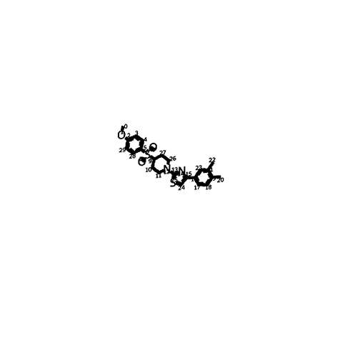 COc1ccc(S(=O)(=O)C2CCN(c3nc(-c4ccc(C)c(C)c4)cs3)CC2)cc1